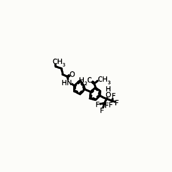 C=C(C)c1cc(C(O)(C(F)(F)F)C(F)(F)F)ccc1-c1ccc(NC(=O)CCCC)cc1